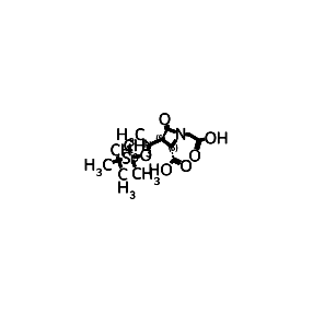 C[C@@H](O[Si](C)(C)C(C)(C)C)[C@H]1C(=O)N(CC(=O)O)[C@@H]1C(=O)O